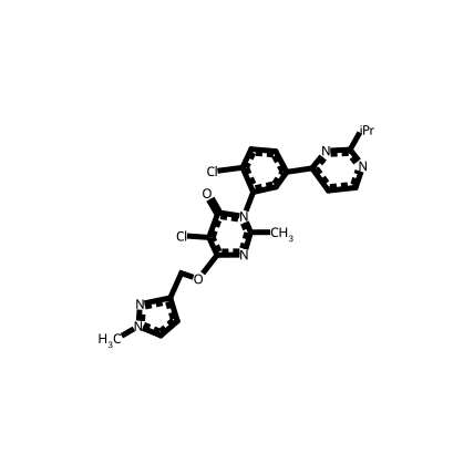 Cc1nc(OCc2ccn(C)n2)c(Cl)c(=O)n1-c1cc(-c2ccnc(C(C)C)n2)ccc1Cl